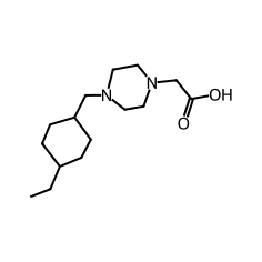 CCC1CCC(CN2CCN(CC(=O)O)CC2)CC1